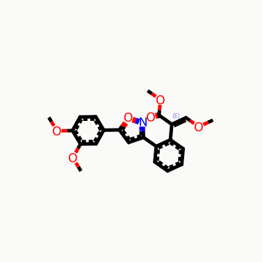 CO/C=C(/C(=O)OC)c1ccccc1-c1cc(-c2ccc(OC)c(OC)c2)on1